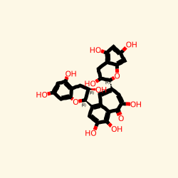 O=c1c(O)cc([C@H]2Oc3cc(O)cc(O)c3CC2O)cc2c([C@H]3Oc4cc(O)cc(O)c4C[C@H]3O)cc(O)c(O)c12